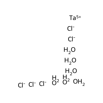 O.O.O.O.O.O.[Cl-].[Cl-].[Cl-].[Cl-].[Cl-].[Ta+5]